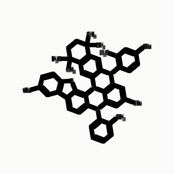 Cc1cc(C(C)(C)C)ccc1N1c2cc3c(cc2B2c4c1cc(C(C)(C)C)cc4N(c1ccccc1C)c1ccc4c(sc5ccc(C(C)(C)C)cc54)c12)C(C)(C)CCC3(C)C